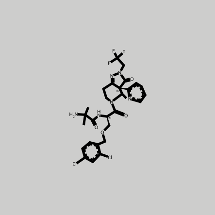 CC1N(C(=O)[C@@H](COCc2ccc(Cl)cc2Cl)NC(=O)C(C)(C)N)CCC2=NN(CC(F)(F)F)C(=O)[C@@]21c1ccccn1